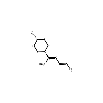 CCC=CC=C(C(=O)O)[C@H]1CC[C@H](C#N)CC1